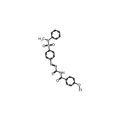 CCOc1ccc(C(=O)NC(=S)N=Nc2ccc(S(=O)(=O)N(C)c3ccccc3)cc2)cc1